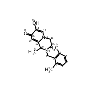 Cc1cccc(C)c1CN1CCn2cc(O)c(=O)cc2C1C